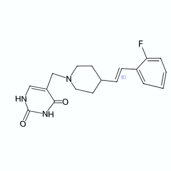 O=c1[nH]cc(CN2CCC(/C=C/c3ccccc3F)CC2)c(=O)[nH]1